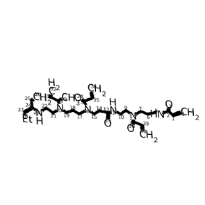 C=CC(=O)NCCCN(CCNC(=O)CCN(CCCN(CCNC(C=C)=CCC)C(C)C=C)C(=O)C=C)C(=O)C=C